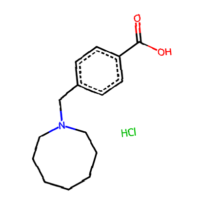 Cl.O=C(O)c1ccc(CN2CCCCCCC2)cc1